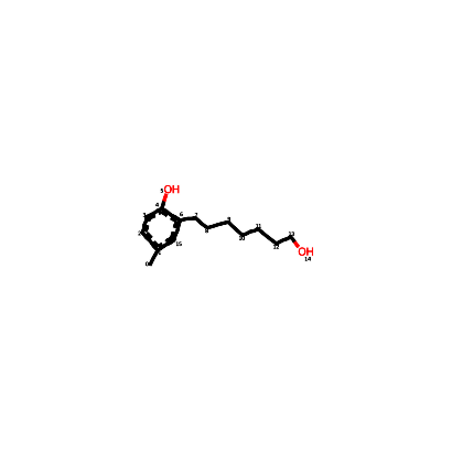 Cc1ccc(O)c(CCCCCCCO)c1